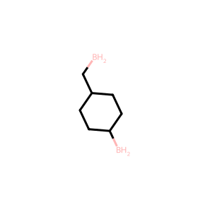 BCC1CCC(B)CC1